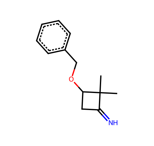 CC1(C)C(=N)CC1OCc1ccccc1